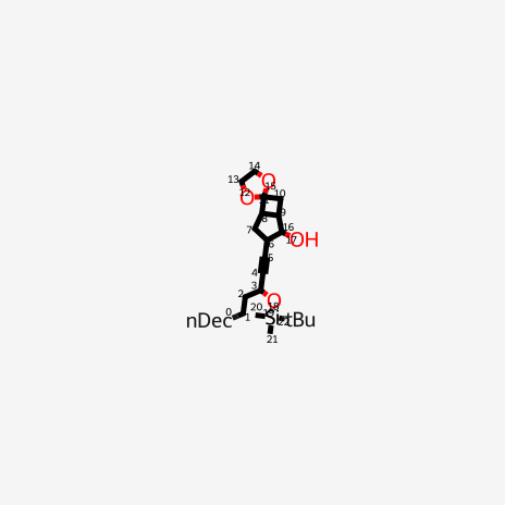 CCCCCCCCCCCCC(C#CC1CC2C(CC23OCCO3)C1O)O[Si](C)(C)C(C)(C)C